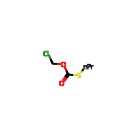 CCCSC(=O)OCCl